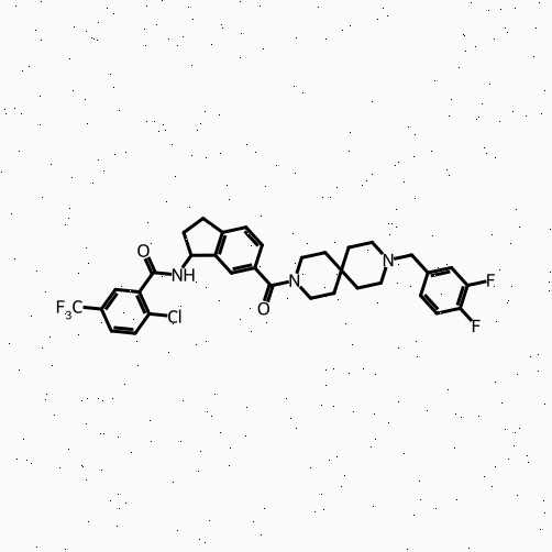 O=C(NC1CCc2ccc(C(=O)N3CCC4(CCN(Cc5ccc(F)c(F)c5)CC4)CC3)cc21)c1cc(C(F)(F)F)ccc1Cl